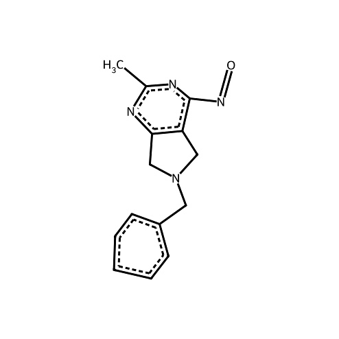 Cc1nc2c(c(N=O)n1)CN(Cc1ccccc1)C2